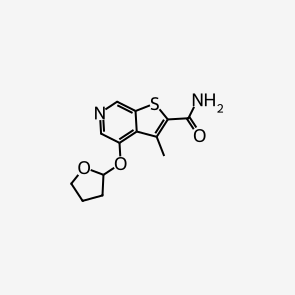 Cc1c(C(N)=O)sc2cncc(OC3CCCO3)c12